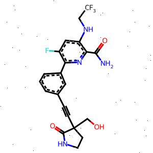 NC(=O)c1nc(-c2cccc(C#CC3(CO)CCNC3=O)c2)c(F)cc1NCC(F)(F)F